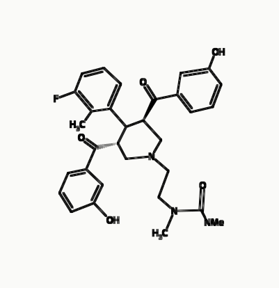 CNC(=O)N(C)CCN1C[C@H](C(=O)c2cccc(O)c2)C(c2cccc(F)c2C)[C@@H](C(=O)c2cccc(O)c2)C1